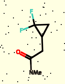 CNC(=O)CC1CC1(F)F